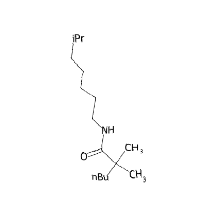 CCCCC(C)(C)C(=O)NCCCCCC(C)C